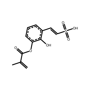 C=C(C)C(=O)Oc1cccc(C=CS(=O)(=O)O)c1O